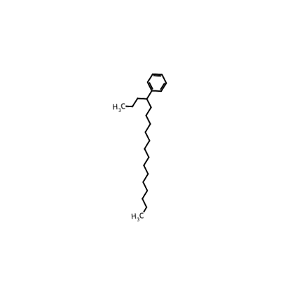 CCCCCCCCCCCCCCC(CCC)c1ccccc1